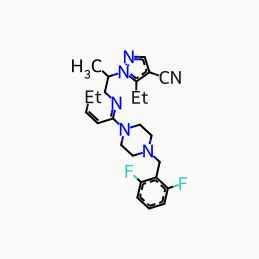 CC/C=C\C(=N/CC(C)n1ncc(C#N)c1CC)N1CCN(Cc2c(F)cccc2F)CC1